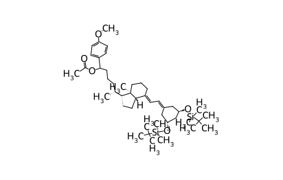 COc1ccc(C(CCC[C@@H](C)[C@H]2CC[C@H]3/C(=C/C=C4C[C@@H](O[Si](C)(C)C(C)(C)C)C[C@H](O[Si](C)(C)C(C)(C)C)C4)CCC[C@]23C)OC(C)=O)cc1